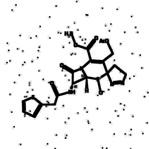 BOC(=O)C1=C(COC(C)=O)C2(CCN=N2)[S+]([O-])[C@@H]2[C@H](NC(=O)Cc3cccs3)C(=O)N12